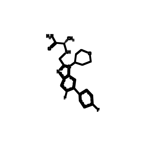 C[C@H](NCc1nc2cc(F)c(-c3ccc(F)cc3)cc2n1C1CCOCC1)C(N)=O